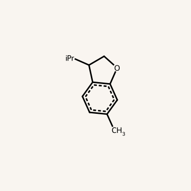 Cc1ccc2c(c1)OCC2C(C)C